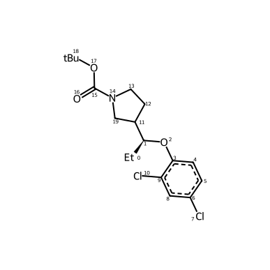 CC[C@H](Oc1ccc(Cl)cc1Cl)C1CCN(C(=O)OC(C)(C)C)C1